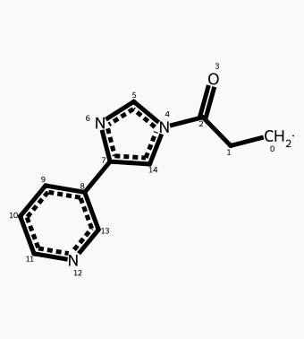 [CH2]CC(=O)n1cnc(-c2cccnc2)c1